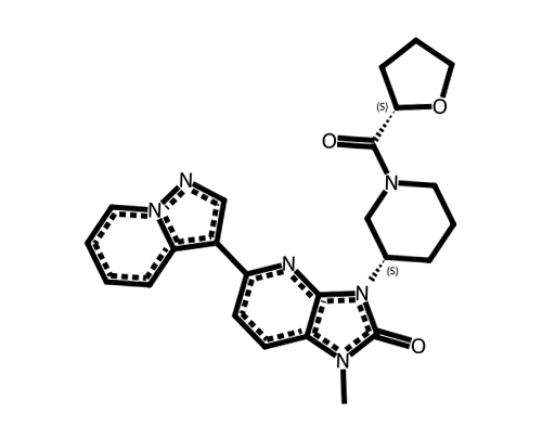 Cn1c(=O)n([C@H]2CCCN(C(=O)[C@@H]3CCCO3)C2)c2nc(-c3cnn4ccccc34)ccc21